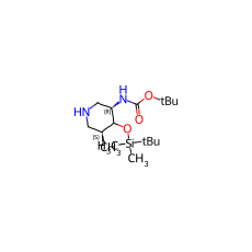 C[C@H]1CNC[C@@H](NC(=O)OC(C)(C)C)C1O[Si](C)(C)C(C)(C)C